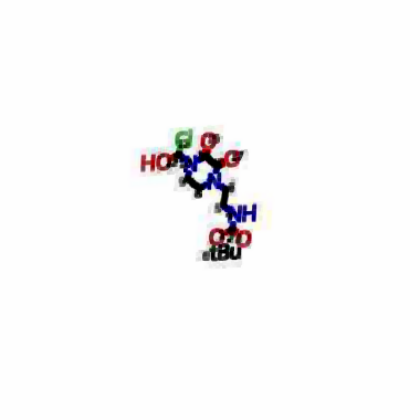 CC(C)(C)OC(=O)NCCN1CCN(C(O)Cl)C(=O)C1=O